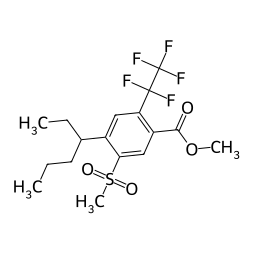 CCCC(CC)c1cc(C(F)(F)C(F)(F)F)c(C(=O)OC)cc1S(C)(=O)=O